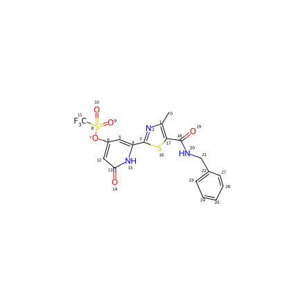 Cc1nc(-c2cc(OS(=O)(=O)C(F)(F)F)cc(=O)[nH]2)sc1C(=O)NCc1ccccc1